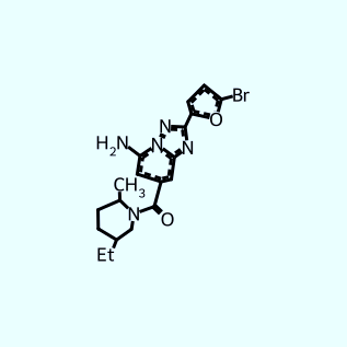 CCC1CCC(C)N(C(=O)c2cc(N)n3nc(-c4ccc(Br)o4)nc3c2)C1